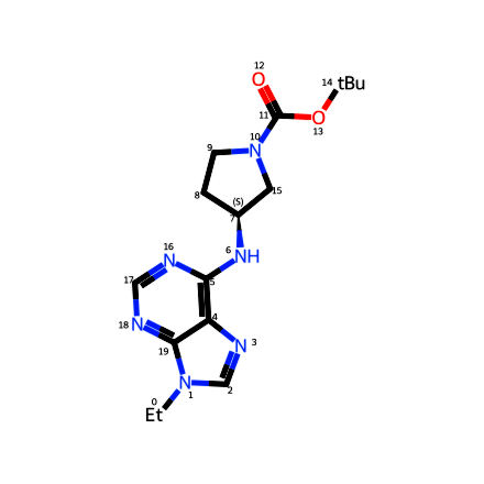 CCn1cnc2c(N[C@H]3CCN(C(=O)OC(C)(C)C)C3)ncnc21